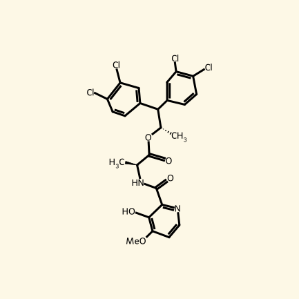 COc1ccnc(C(=O)N[C@@H](C)C(=O)O[C@@H](C)C(c2ccc(Cl)c(Cl)c2)c2ccc(Cl)c(Cl)c2)c1O